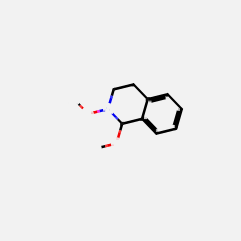 COC1c2ccccc2CCN1OC